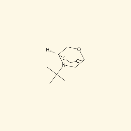 CC(C)(C)N1CC2CCC[C@@H]1CO2